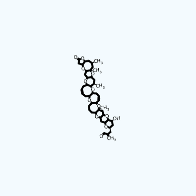 C=C(C=O)C[C@@H]1C[C@H](O)C2OC3C[C@]4(C)OC5/C=C\CC6OC7C(CC=CCC6OC5CCCC4OC3CC2O1)OC1CC2OC3CC(=O)OC3C[C@@H](C)C[C@@]2(C)OC1C[C@@H]7C